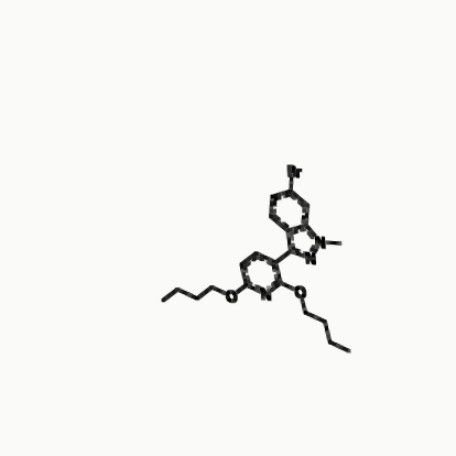 CCCCOc1ccc(-c2nn(C)c3cc(Br)ccc23)c(OCCCC)n1